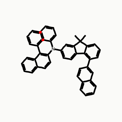 CC1(C)c2cc(N(c3ccccc3)c3ccc4ccccc4c3-c3ccccc3)ccc2-c2c(-c3ccc4ccccc4c3)cccc21